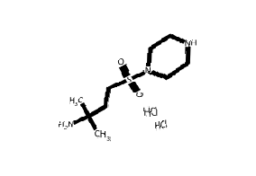 CC(C)(N)CCS(=O)(=O)N1CCNCC1.Cl.Cl